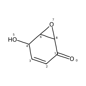 O=C1C=CC(O)C2OC12